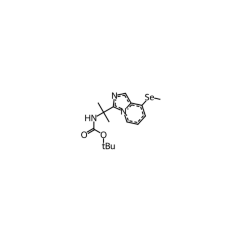 C[Se]c1cccn2c(C(C)(C)NC(=O)OC(C)(C)C)ncc12